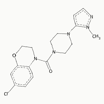 Cn1nccc1N1CCN(C(=O)N2CCOc3cc(Cl)ccc32)CC1